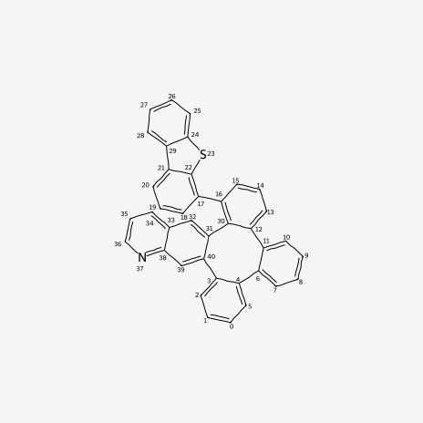 c1ccc2c(c1)-c1ccccc1-c1cccc(-c3cccc4c3sc3ccccc34)c1-c1cc3cccnc3cc1-2